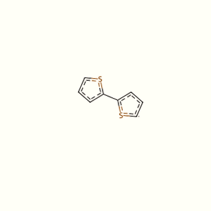 [c]1ccc(-c2cccs2)s1